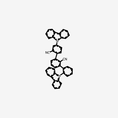 N#Cc1cc(-n2c3ccccc3c3ccccc32)ccc1-c1cccc(-c2ccccc2-n2c3ccccc3c3ccccc32)c1C#N